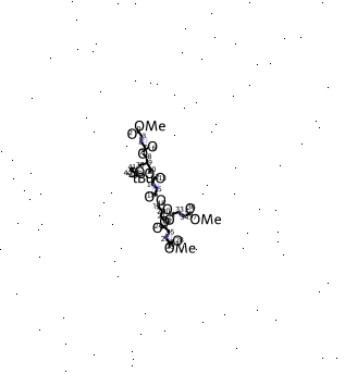 COC(=O)/C=C/C(=O)OCC(COC(=O)/C=C/C(=O)OCC(COC(=O)/C=C/C(=O)OC)OC(=O)/C=C/C(=O)OC)CO[Si](C)(C)C(C)(C)C